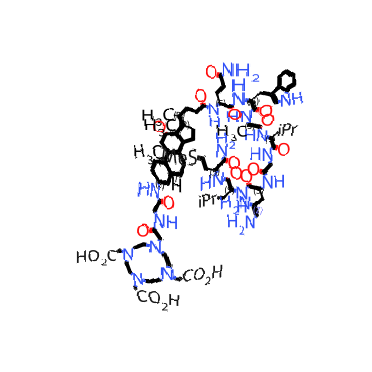 CSCC[C@H](NC(=O)[C@H](CC(C)C)NC(=O)[C@H](C/C(N)=C/N)NC(=O)CNC(=O)[C@@H](NC(=O)[C@H](C)NC(=O)[C@H](Cc1c[nH]c2ccccc12)NC(=O)[C@H](CCC(N)=O)NC(=O)CC[C@@H](C)[C@H]1CCC2C3CC[C@@H]4C[C@@H](NC(=O)CNC(=O)CN5CCN(CC(=O)O)CCN(CC(=O)O)CCN(CC(=O)O)CC5)CC[C@]4(C)C3CC(=O)[C@@]21C)C(C)C)C(N)=O